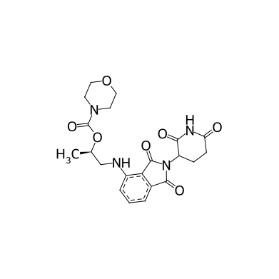 C[C@H](CNc1cccc2c1C(=O)N(C1CCC(=O)NC1=O)C2=O)OC(=O)N1CCOCC1